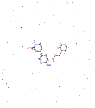 Cn1ccc(-c2cnc(N)c(OCCc3ccccc3)c2)cc1=O